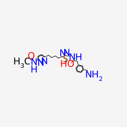 CC(=O)Nc1ccc(CCCCc2nnc(NC(O)Cc3cccc(CN)c3)s2)nn1